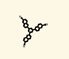 N#Cc1ccc2cc(-c3cc(-c4ccc5cc(C#N)ccc5c4)cc(-c4ccc5cc(C#N)ccc5c4)c3)ccc2c1